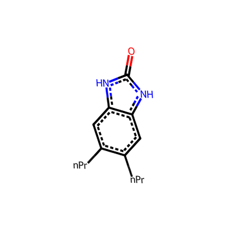 CCCc1cc2[nH]c(=O)[nH]c2cc1CCC